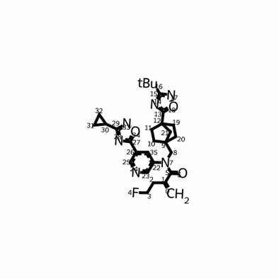 C=C(CCF)C(=O)N(CC12CCC(c3nc(C(C)(C)C)no3)(CC1)C2)c1cncc(-c2nc(C3CC3)no2)c1